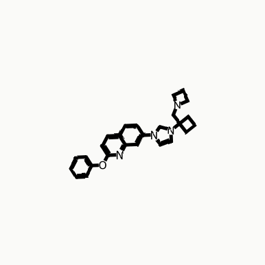 C1=CN(C2(CN3CCC3)CCC2)CN1c1ccc2ccc(Oc3ccccc3)nc2c1